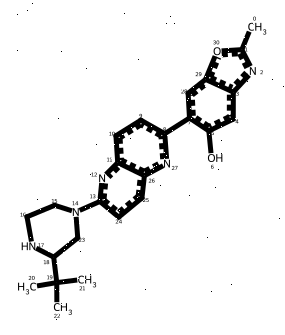 Cc1nc2cc(O)c(-c3ccc4nc(N5CCNC(C(C)(C)C)C5)ccc4n3)cc2o1